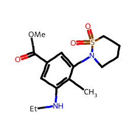 CCNc1cc(C(=O)OC)cc(N2CCCCS2(=O)=O)c1C